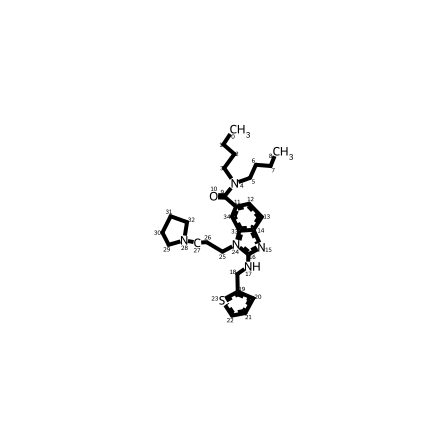 CCCCN(CCCC)C(=O)c1ccc2nc(NCc3cccs3)n(CCCN3CCCC3)c2c1